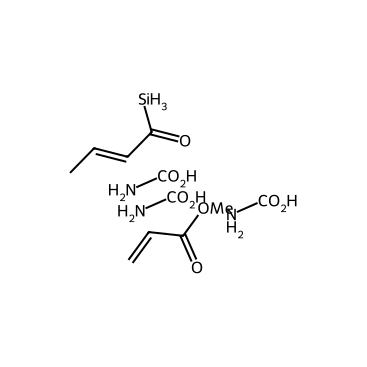 C=CC(=O)OC.CC=CC(=O)[SiH3].NC(=O)O.NC(=O)O.NC(=O)O